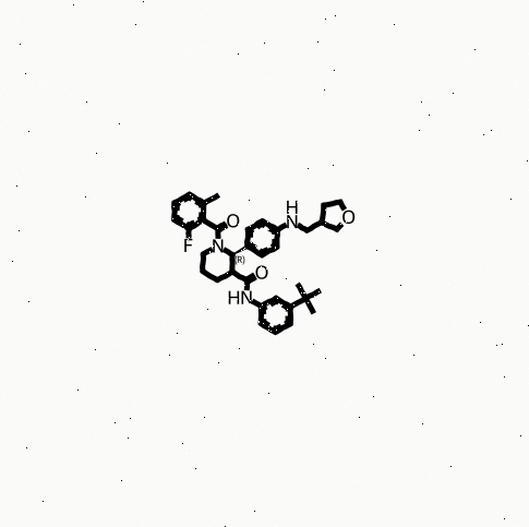 Cc1cccc(F)c1C(=O)N1CCCC(C(=O)Nc2cccc(C(C)(C)C)c2)[C@@H]1c1ccc(NCC2CCOC2)cc1